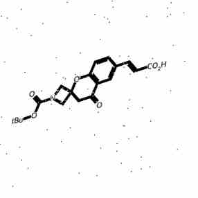 CC(C)(C)OC(=O)N1CC2(CC(=O)c3cc(C=CC(=O)O)ccc3O2)C1